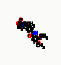 COc1ccc(C(=O)Nc2ccc(C(C)(C)CN3CCOC3=O)cc2)cc1OC